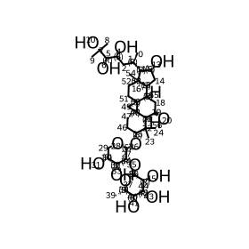 C[C@H](C[C@H](O)[C@@H](O)C(C)(C)O)[C@H]1[C@@H](O)C[C@@]2(C)[C@@H]3CC(=O)[C@H]4C(C)(C)[C@@H](O[C@@H]5OC[C@@H](O)[C@H](O)[C@H]5O[C@@H]5O[C@@H](C)[C@H](O)[C@@H](O)[C@H]5O)CC[C@@]45C[C@@]35CC[C@]12C